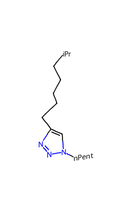 CCCCCn1cc(CCCCCC(C)C)nn1